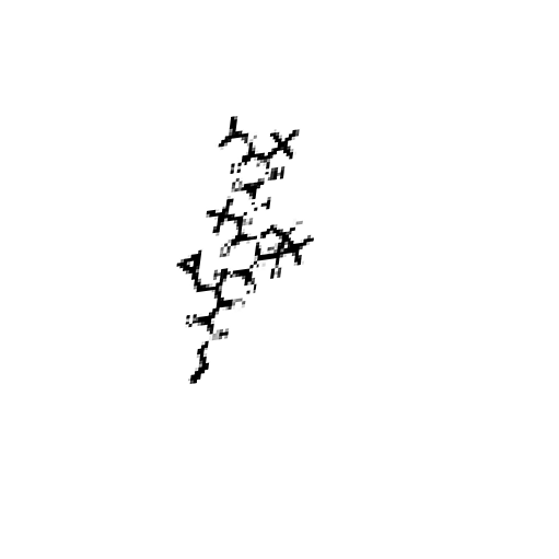 C=CCNC(=O)C(=O)C(CC1CC1)NC(=O)[C@@H]1[C@@H]2[C@H](CN1C(=O)[C@@H](NC(=O)N[C@H](C(=O)OC(C)C)C(C)(C)C)C(C)(C)C)C2(C)C